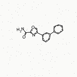 NC(=O)c1nc(-c2cccc(-c3ccccc3)c2)co1